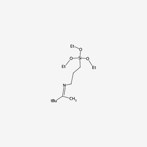 CCO[Si](CCCN=C(C)C(C)(C)C)(OCC)OCC